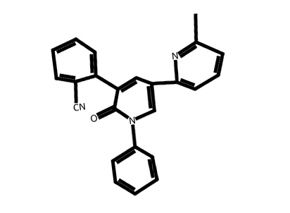 Cc1cccc(-c2cc(-c3ccccc3C#N)c(=O)n(-c3ccccc3)c2)n1